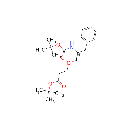 CC(C)(C)OC(=O)CCOC[C@H](Cc1ccccc1)NC(=O)OC(C)(C)C